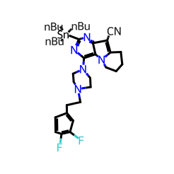 CCC[CH2][Sn]([CH2]CCC)([CH2]CCC)[c]1nc(N2CCN(CCc3ccc(F)c(F)c3)CC2)c2c(n1)c(C#N)c1n2CCCC1